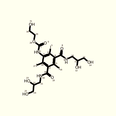 O=C(Nc1c(I)c(C(=O)NCC(O)CO)c(I)c(C(=O)NCC(O)CO)c1I)OCCO